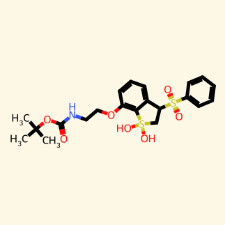 CC(C)(C)OC(=O)NCCOc1cccc2c1S(O)(O)CC2S(=O)(=O)c1ccccc1